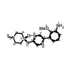 COc1c(N)cccc1-c1cnc(N=S2(=O)CCN(C)CC2)cn1